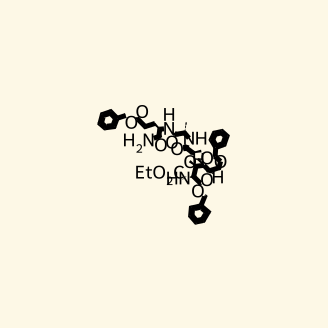 CCOC(=O)N[C@H]1[C@@H](OCc2ccccc2)O[C@@H]2COC(c3ccccc3)O[C@H]2[C@@H]1O[C@H](C)C(=O)N[C@@H](C)C(=O)N[C@H](CCC(=O)OCc1ccccc1)C(N)=O